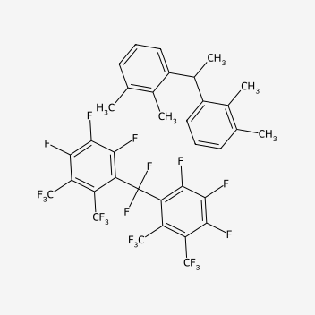 Cc1cccc(C(C)c2cccc(C)c2C)c1C.Fc1c(F)c(C(F)(F)F)c(C(F)(F)F)c(C(F)(F)c2c(F)c(F)c(F)c(C(F)(F)F)c2C(F)(F)F)c1F